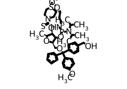 COc1ccc(C(OC[C@H]2O[C@@H](C)[C@@H](OC(=S)N3CC[S+]([O-])CC3)C2OP(NCCC=O)N(C(C)C)C(C)C)(c2ccccc2)c2ccc(CO)cc2)cc1